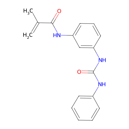 C=C(C)C(=O)Nc1cccc(NC(=O)Nc2ccccc2)c1